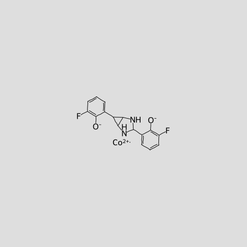 [Co+2].[O-]c1c(F)cccc1C1NC2C(N1)C2c1cccc(F)c1[O-]